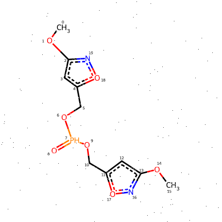 COc1cc(CO[PH](=O)OCc2cc(OC)no2)on1